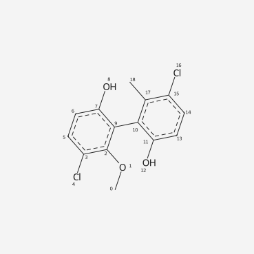 COc1c(Cl)ccc(O)c1-c1c(O)ccc(Cl)c1C